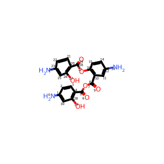 Nc1ccc(C(=O)OC(=O)c2cc(N)ccc2OC(=O)c2ccc(N)cc2O)c(O)c1